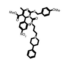 COC(=O)C1=C(C)N=C(SCc2ccc(OC)cc2)N(C(=O)N(O)CCCN2CCC(c3ccccc3)CC2)C1c1ccc([N+](=O)[O-])cc1